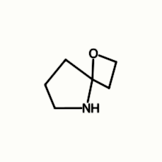 C1CNC2(C1)CCO2